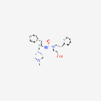 CN1CCN(C[C@H](Cc2ccccc2)NC(=O)N(CCO)CCc2ccccc2)CC1